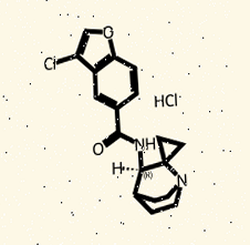 Cl.O=C(N[C@@H]1C2CCN(CC2)C12CC2)c1ccc2occ(Cl)c2c1